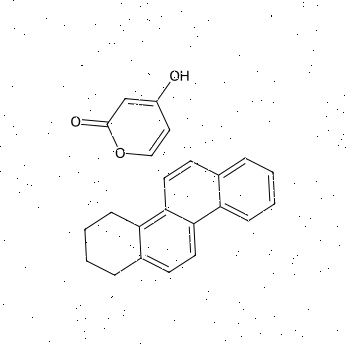 O=c1cc(O)cco1.c1ccc2c(c1)ccc1c3c(ccc12)CCCC3